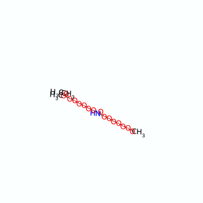 COCCOCCOCCOCCOCCOCCOCCC(=O)NCCOCCOCCOCCOCCOCCOCCC(=O)OC(C)(C)C